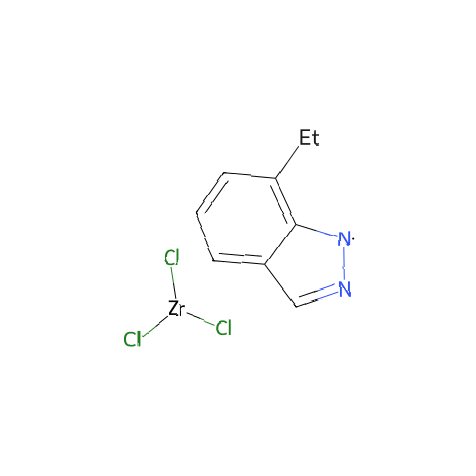 CCc1cccc2c1[N]N=C2.[Cl][Zr]([Cl])[Cl]